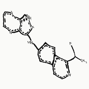 CC(F)c1nccc2cc(Nc3n[nH]c4nccnc34)ccc12